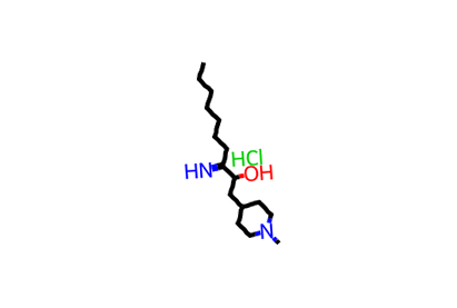 CCCCCCCC(=N)C(O)CC1CCN(C)CC1.Cl